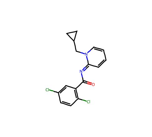 O=C(/N=c1\ccccn1CC1CC1)c1cc(Cl)ccc1Cl